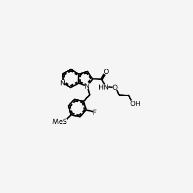 CSc1ccc(Cn2c(C(=O)NOCCO)cc3ccncc32)c(F)c1